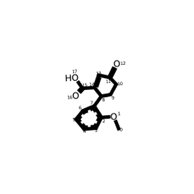 COc1ccccc1C1CCC(=O)C=C1C(=O)O